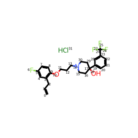 C=CCc1cc(F)ccc1OCCCN1CCC(O)(c2cccc(C(F)(F)F)c2)CC1.Cl